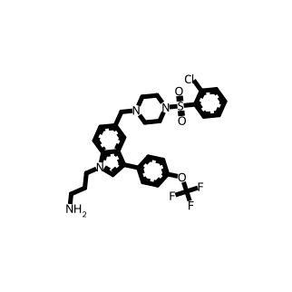 NCCCn1cc(-c2ccc(OC(F)(F)F)cc2)c2cc(CN3CCN(S(=O)(=O)c4ccccc4Cl)CC3)ccc21